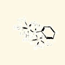 CCCCP(CCCC)(CCCC)(CCCC)P(O)(O)(c1ccccc1)P(CCCC)(CCCC)(CCCC)CCCC